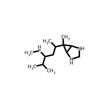 CPC(CC(C)C1(C)C2NCNC21)C(C)C